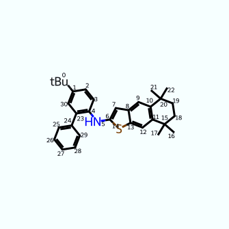 CC(C)(C)c1ccc(Nc2cc3cc4c(cc3s2)C(C)(C)CCC4(C)C)c(-c2ccccc2)c1